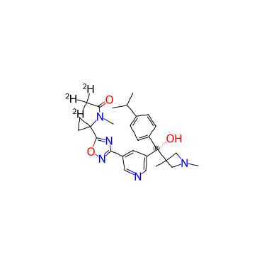 [2H]C([2H])([2H])C(=O)N(C)C1(c2nc(-c3cncc([C@@](O)(c4ccc(C(C)C)cc4)C4(C)CN(C)C4)c3)no2)CC1